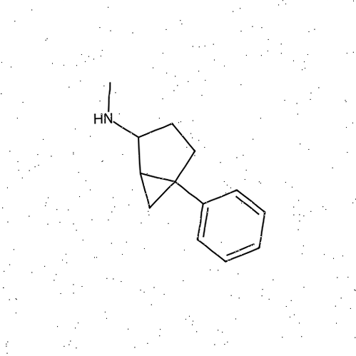 CNC1CCC2(c3ccccc3)CC12